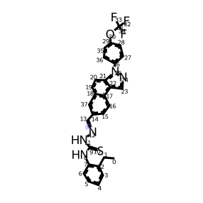 CCc1ccccc1NC(=S)N/N=C/c1ccc2c(ccc3c2cnn3-c2ccc(OC(F)(F)F)cc2)c1